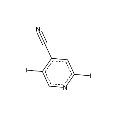 N#Cc1cc(I)ncc1I